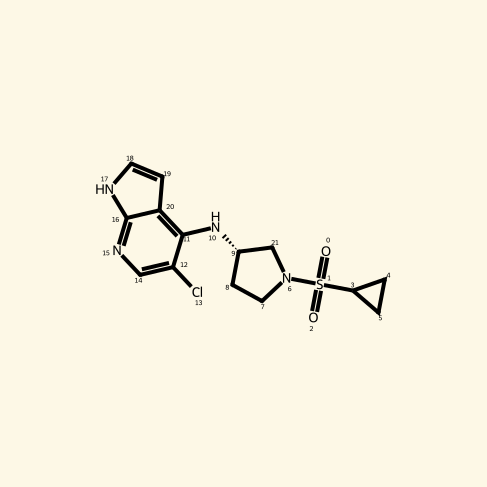 O=S(=O)(C1CC1)N1CC[C@H](Nc2c(Cl)cnc3[nH]ccc23)C1